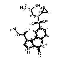 CCCOC(=O)c1c[nH]c2c(=O)[nH]c3ccc(S(=O)(=O)N(C[C@H](C)N)C4CC4)cc3c12